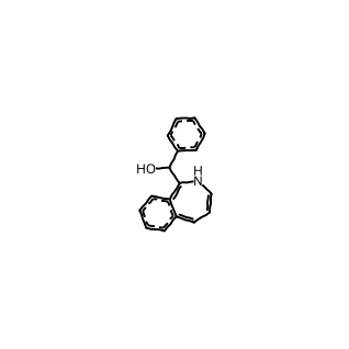 OC(C1=c2ccccc2=CC=CN1)c1ccccc1